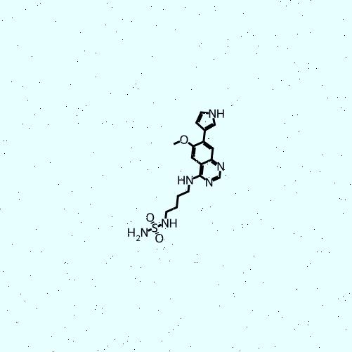 COc1cc2c(NCCCCNS(N)(=O)=O)ncnc2cc1-c1cc[nH]c1